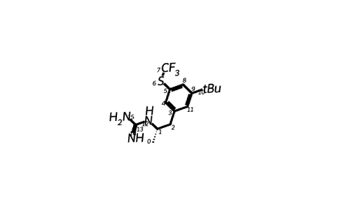 C[C@@H](Cc1cc(SC(F)(F)F)cc(C(C)(C)C)c1)NC(=N)N